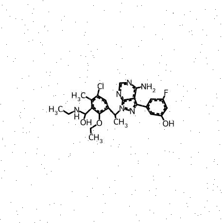 CCNC(O)c1c(C)c(Cl)cc(C(C)n2nc(-c3cc(O)cc(F)c3)c3c(N)ncnc32)c1OCC